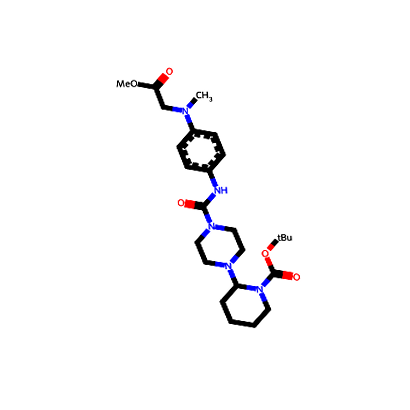 COC(=O)CN(C)c1ccc(NC(=O)N2CCN(C3CCCCN3C(=O)OC(C)(C)C)CC2)cc1